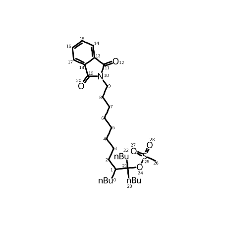 CCCCC(CCCCCCCCN1C(=O)c2ccccc2C1=O)C(CCCC)(CCCC)OS(C)(=O)=O